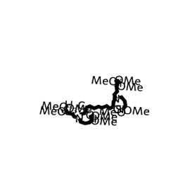 CO[Si](CCCN1CCC[Si](OC)(OC)OC(CCCCCCC(C)C2CN(CCC[Si](OC)(OC)OC)CCC[Si](OC)(OC)O2)C1)(OC)OC